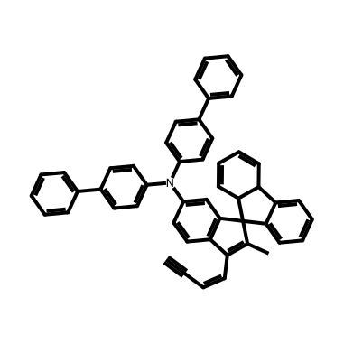 C#C/C=C\C1=C(C)C2(c3cc(N(c4ccc(-c5ccccc5)cc4)c4ccc(-c5ccccc5)cc4)ccc31)c1ccccc1C1C=CC=CC12